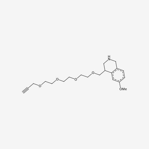 C#CCOCCOCCOCCOCC1CNCc2ccc(OC)cc21